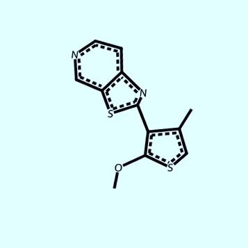 COc1scc(C)c1-c1nc2ccncc2s1